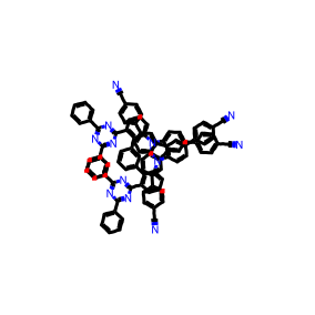 N#Cc1ccc(-c2ccc3c(c2)c2cc(-c4ccc(C#N)cc4)ccc2n3-c2cccc(-c3nc(-c4ccccc4)nc(-c4ccccc4)n3)c2-c2cccc(-c3c(-c4nc(-c5ccccc5)nc(-c5ccccc5)n4)cccc3-n3c4ccc(-c5ccc(C#N)cc5)cc4c4cc(-c5ccc(C#N)cc5)ccc43)c2)cc1